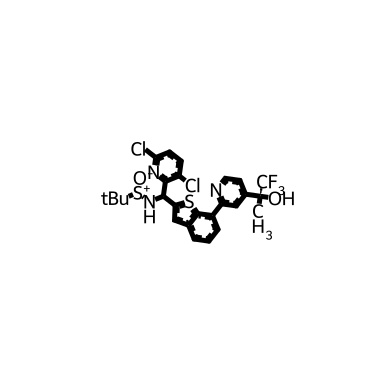 CC(C)(C)[S+]([O-])NC(c1cc2cccc(-c3cc([C@](C)(O)C(F)(F)F)ccn3)c2s1)c1nc(Cl)ccc1Cl